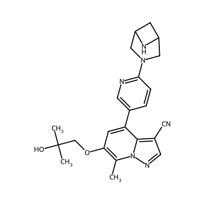 Cc1c(OCC(C)(C)O)cc(-c2ccc(N3CC4CC(C3)N4)nc2)c2c(C#N)cnn12